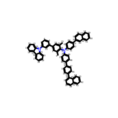 Cc1cc(-c2cccc(-n3c4ccccc4c4ccccc43)c2)cc(C)c1N(c1ccc(-c2ccc(-c3cccc4ccccc34)cc2)cc1)c1ccc(-c2ccc3ccccc3c2)cc1